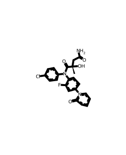 C[C@](O)(CC(N)=O)C(=O)N(c1ccc(Cl)cc1)c1ccc(-n2ccccc2=O)cc1F